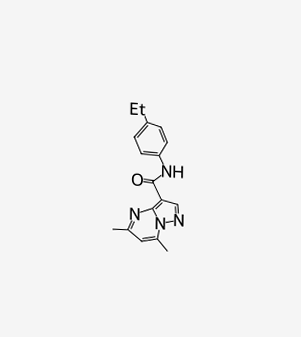 CCc1ccc(NC(=O)c2cnn3c(C)cc(C)nc23)cc1